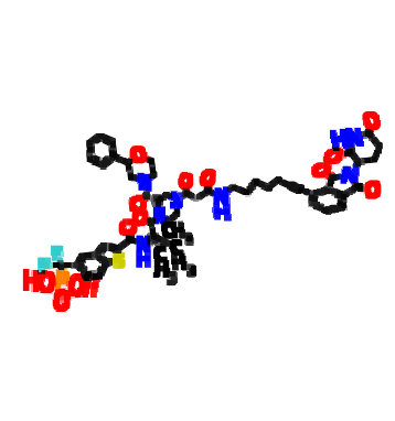 CC(C)(C)[C@H](NC(=O)c1cc2cc(C(F)(F)P(=O)(O)O)ccc2s1)C(=O)N1CCN(C(=O)CC(=O)NCCCCCC#Cc2cccc3c2C(=O)N(C2CCC(=O)NC2=O)C3=O)C[C@H]1C(=O)N1CCOC(c2ccccc2)C1